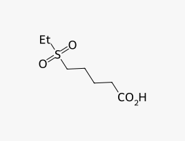 CCS(=O)(=O)CCCCC(=O)O